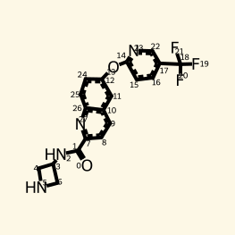 O=C(NC1CNC1)c1ccc2cc(Oc3ccc(C(F)(F)F)cn3)ccc2n1